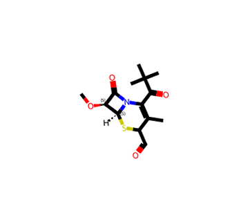 CO[C@H]1C(=O)N2C(C(=O)C(C)(C)C)=C(C)C(C=O)S[C@@H]12